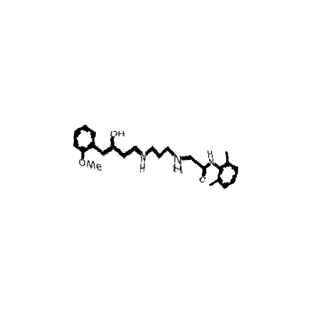 COc1ccccc1CC(O)CCNCCCNCC(=O)Nc1c(C)cccc1C